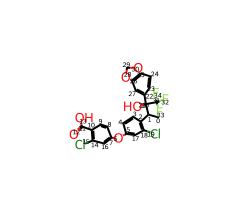 CC(c1ccc(Oc2ccc(C(=O)O)c(Cl)c2)cc1Cl)C(O)(c1ccc2c(c1)OCO2)C(F)(F)F